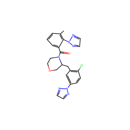 Cc1cccc(C(=O)N2CCOCC2Cc2cc(-n3nccn3)ccc2Cl)c1-n1nccn1